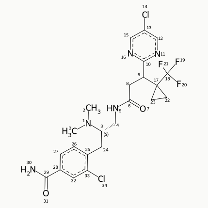 CN(C)[C@H](CNC(=O)CC(c1ncc(Cl)cn1)C1(C(F)(F)F)CC1)Cc1ccc(C(N)=O)cc1Cl